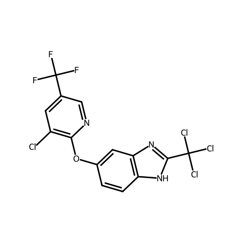 FC(F)(F)c1cnc(Oc2ccc3[nH]c(C(Cl)(Cl)Cl)nc3c2)c(Cl)c1